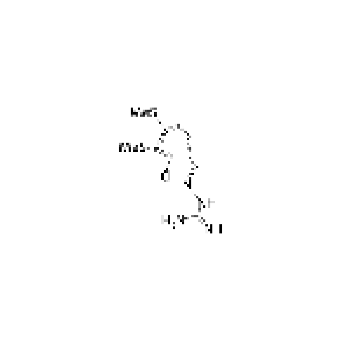 CSc1ccc(C=NNC(=N)N)c(Cl)c1SC